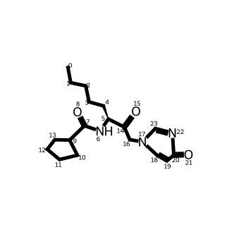 CCCCC[C@H](NC(=O)C1CCCC1)C(=O)Cn1ccc(=O)nc1